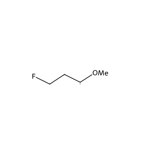 CO[CH]CCF